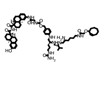 CC(C)[C@@H](CN[C@@H](CCCNC(N)=O)CNc1ccc(COC(=O)NCC(=O)Nc2ccc3c(c2)[C@@]2(C)CCC[C@](C)(C(=O)NC(=O)[C@@]4(C)CCC[C@]5(C)c6cc(O)ccc6CC[C@@H]45)[C@@H]2CC3)cc1)NC[C@H](N)CCCCNC(=O)COC1C#CCCCCC1